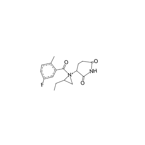 CCC1C[N+]1(C(=O)c1cc(F)ccc1C)C1CCC(=O)NC1=O